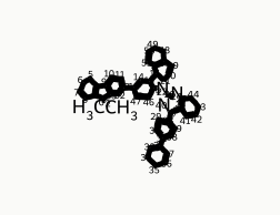 CC1(C)C2=C(CCC=C2)c2ccc(C3=CC4C5C6=C(C=CC5N(c5nc7c(c(-c8ccc(C9=CCCC=C9)cc8)n5)C=CCC7)C4C=C3)CCC=C6)cc21